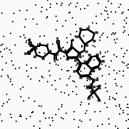 Cc1c(C(=O)NC2CCS(=O)(=O)CC2)cc(-c2ccc(SNC(C)(C)C)c3ccccc23)n1CC1CCCCC1